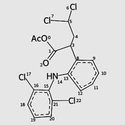 CC(=O)OC(=O)C(CC(Cl)Cl)c1ccccc1Nc1c(Cl)cccc1Cl